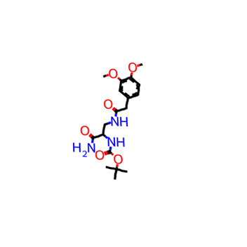 COc1ccc(CC(=O)NCC(NC(=O)OC(C)(C)C)C(N)=O)cc1OC